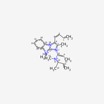 C=C/C=C\c1c(C)n(C(=C/C)/[N+](C)=C(/C)C=C)c2n1c1ccccc1[n+]2C